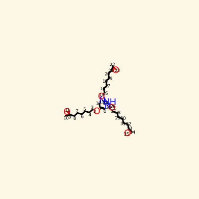 C1=C(OCCCCCCC2CO2)CN(OCCCCCCC2CO2)NN1OCCCCCCC1CO1